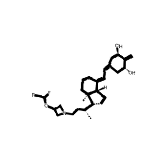 C=C1[C@H](O)CC(=C/C=C2\CCC[C@]3(C)[C@@H]([C@H](C)CCN4CC(OC(F)F)C4)CC[C@@H]23)C[C@H]1O